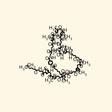 CN(C)CCCCC(=O)CCCC(=O)c1cc(CC(=O)c2nc(CC(=O)c3nc(CC(=O)CCCC(=O)c4cc(CC(=O)c5nc(CC(=O)CCCNC(=O)c6cc(NC(=O)c7nc(NC(=O)CCNC(=O)c8cc(NC(=O)c9cc(NC(=O)c%10nc(NC(=O)CCNC(=O)CCNC(=O)c%11ccc(NC(=O)CCCCCCC(=O)CO)cc%11)cn%10C)cn9C)cn8C)cn7C)cn6C)cn5C)cn4C)cn3C)cn2C)cn1C